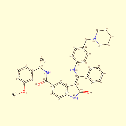 COc1cccc([C@H](C)NC(=O)c2ccc3c(c2)C(=C(Nc2ccc(CN4CCCCC4)cc2)c2ccccc2)C(=O)N3)c1